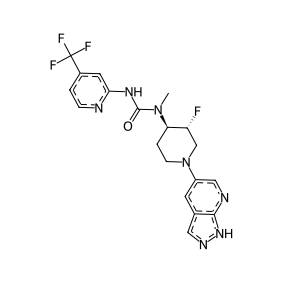 CN(C(=O)Nc1cc(C(F)(F)F)ccn1)[C@@H]1CCN(c2cnc3[nH]ncc3c2)C[C@H]1F